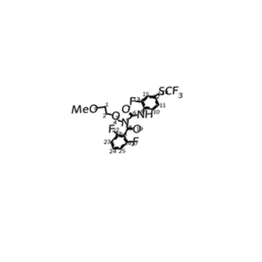 COCCOCN(C(=O)Nc1ccc(SC(F)(F)F)cc1F)C(=O)c1c(F)cccc1F